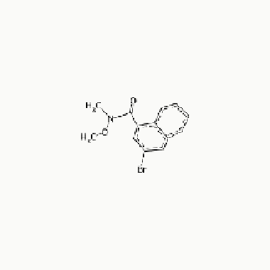 CON(C)C(=O)c1cc(Br)cc2ccccc12